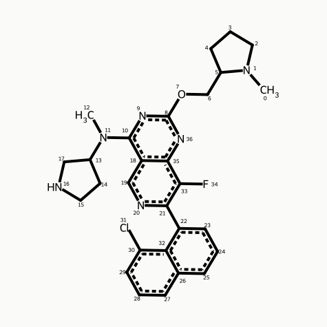 CN1CCCC1COc1nc(N(C)C2CCNC2)c2cnc(-c3cccc4cccc(Cl)c34)c(F)c2n1